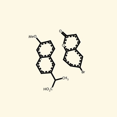 COc1ccc2cc(C(C)C(=O)O)ccc2c1.O=c1ccc2cc(Br)ccc2o1